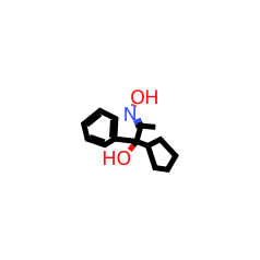 CC(=NO)C(O)(c1ccccc1)C1CCCC1